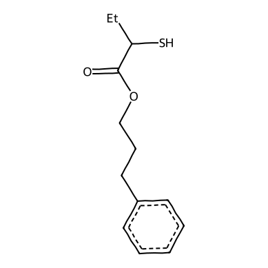 CCC(S)C(=O)OCCCc1ccccc1